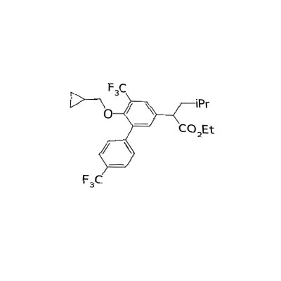 CCOC(=O)C(CC(C)C)c1cc(-c2ccc(C(F)(F)F)cc2)c(OCC2CC2)c(C(F)(F)F)c1